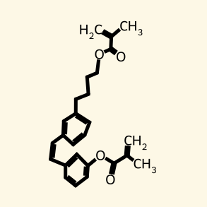 C=C(C)C(=O)OCCCCc1cccc(/C=C\c2cccc(OC(=O)C(=C)C)c2)c1